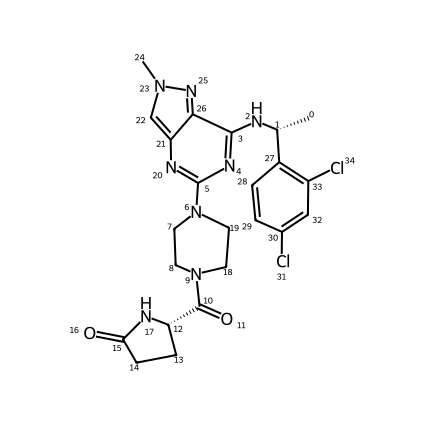 C[C@@H](Nc1nc(N2CCN(C(=O)[C@@H]3CCC(=O)N3)CC2)nc2cn(C)nc12)c1ccc(Cl)cc1Cl